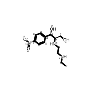 CCNCCN[C@H](CO)[C@H](O)c1ccc([N+](=O)[O-])cc1